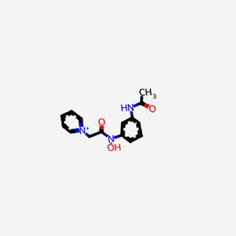 CC(=O)Nc1cccc(N(O)C(=O)C[n+]2ccccc2)c1